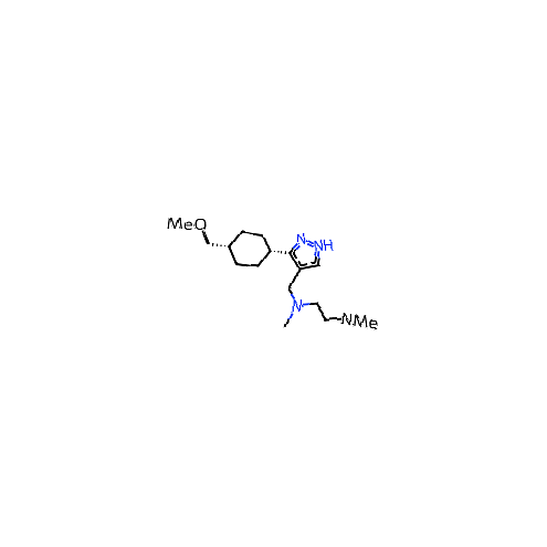 CNCCN(C)Cc1c[nH]nc1[C@H]1CC[C@@H](COC)CC1